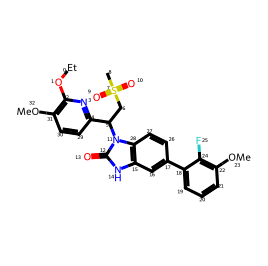 CCOc1nc(C(CS(C)(=O)=O)n2c(=O)[nH]c3cc(-c4cccc(OC)c4F)ccc32)ccc1OC